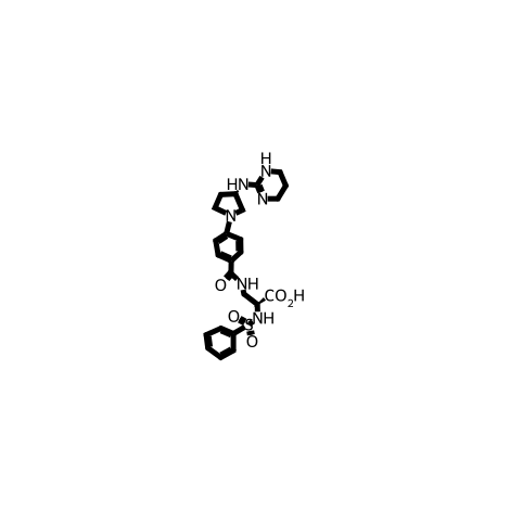 O=C(NC[C@H](NS(=O)(=O)c1ccccc1)C(=O)O)c1ccc(N2CC[C@H](NC3=NCCCN3)C2)cc1